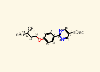 CCCCCCCCCCc1cnc(-c2ccc(OCCC(CCCC)C(F)(F)F)cc2)nc1